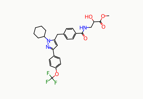 COC(=O)C(O)CNC(=O)c1ccc(Cc2cc(-c3ccc(OC(F)(F)F)cc3)nn2C2CCCCC2)cc1